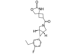 CCc1cc([C@@H]2[C@@H]3CN(C(=O)C4CC5(COC(=O)N5)C4)C[C@@H]32)ccc1F